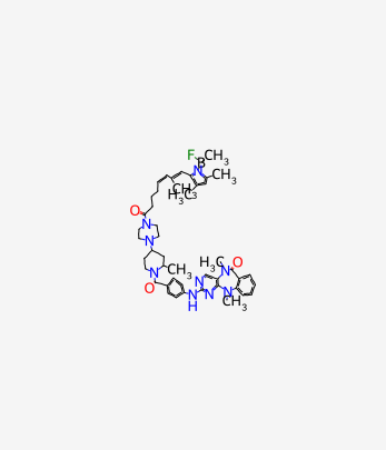 CB(F)n1c(C)cc(C)c1/C=C(C)/C=C\CCCC(=O)N1CCN(C2CCN(C(=O)c3ccc(Nc4ncc5c(n4)N(C)c4ccccc4C(=O)N5C)cc3)C(C)C2)CC1